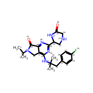 CC(C)N1Cc2c(NC(C)(C)Cc3ccc(F)cc3)nc(C3CNCC(=O)N3)nc2C1=O